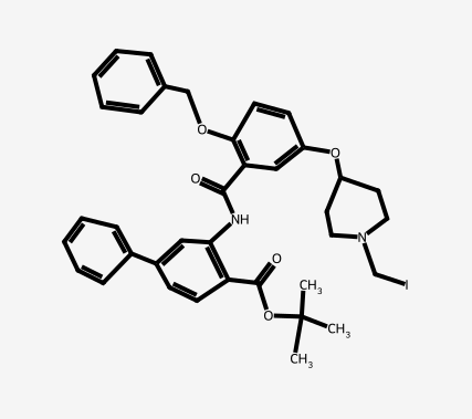 CC(C)(C)OC(=O)c1ccc(-c2ccccc2)cc1NC(=O)c1cc(OC2CCN(CI)CC2)ccc1OCc1ccccc1